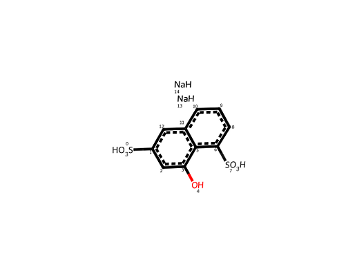 O=S(=O)(O)c1cc(O)c2c(S(=O)(=O)O)cccc2c1.[NaH].[NaH]